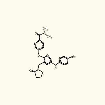 CCCc1ccc(Nc2ccc(Oc3ccc(C(=O)N(C)C)nc3)c(CN3CCCC3=O)c2)nc1